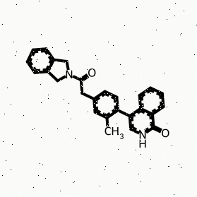 Cc1cc(CC(=O)N2Cc3ccccc3C2)ccc1-c1c[nH]c(=O)c2ccccc12